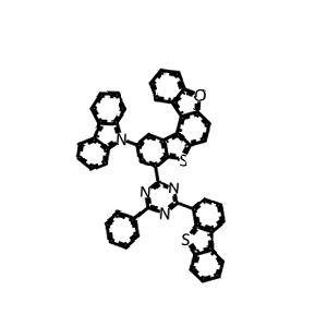 c1ccc(-c2nc(-c3cccc4c3sc3ccccc34)nc(-c3cc(-n4c5ccccc5c5ccccc54)cc4c3sc3ccc5oc6ccccc6c5c34)n2)cc1